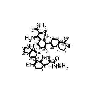 CCc1ccc2cc(C(=O)NN)nnc2c1-c1ccc2[nH]ncc2c1.Cc1ccc2c(N)c(C(N)=O)nnc2c1-c1ccc2c(c1)CCNC2=O